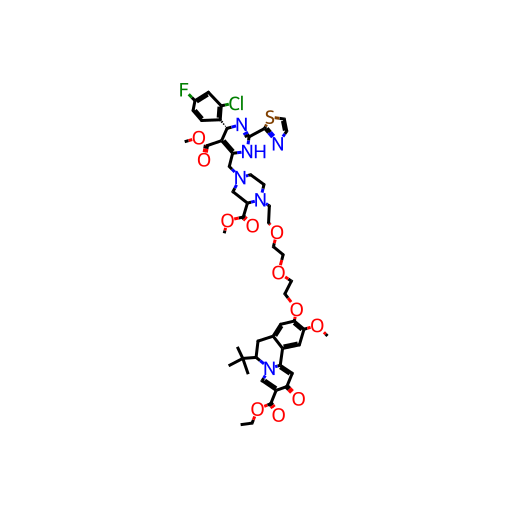 CCOC(=O)c1cn2c(cc1=O)-c1cc(OC)c(OCCOCCOCCN3CCN(CC4=C(C(=O)OC)[C@H](c5ccc(F)cc5Cl)N=C(c5nccs5)N4)CC3C(=O)OC)cc1CC2C(C)(C)C